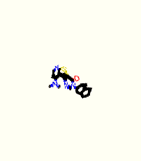 CN(C)c1ccnc2sc3c(=O)n(-c4ccc5c(c4)CCC5)cnc3c12